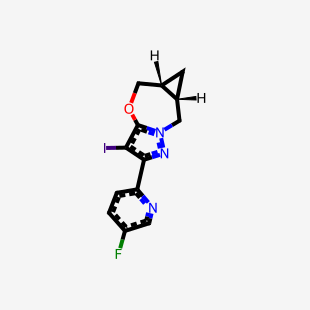 Fc1ccc(-c2nn3c(c2I)OC[C@@H]2C[C@@H]2C3)nc1